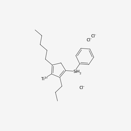 CCCCCC1=[C]([Ti+3])C(CCC)=C([SiH2]c2ccccc2)C1.[Cl-].[Cl-].[Cl-]